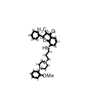 COc1ccccc1N1CCN(CCCNc2cccc3c(=O)c(C)c(-c4ccccc4)oc23)CC1